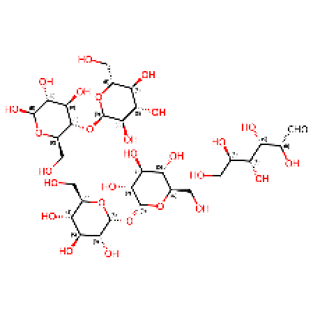 O=C[C@H](O)[C@@H](O)[C@H](O)[C@H](O)CO.OC[C@H]1O[C@H](O[C@H]2O[C@H](CO)[C@@H](O)[C@H](O)[C@H]2O)[C@H](O)[C@@H](O)[C@@H]1O.OC[C@H]1O[C@H](O[C@H]2[C@H](O)[C@@H](O)[C@H](O)O[C@@H]2CO)[C@H](O)[C@@H](O)[C@@H]1O